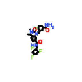 CC1c2ccc(C(=O)NCc3c(F)cc(F)cc3F)cc2N(Cc2cc(C(N)=O)ccc2F)C(=O)N1C